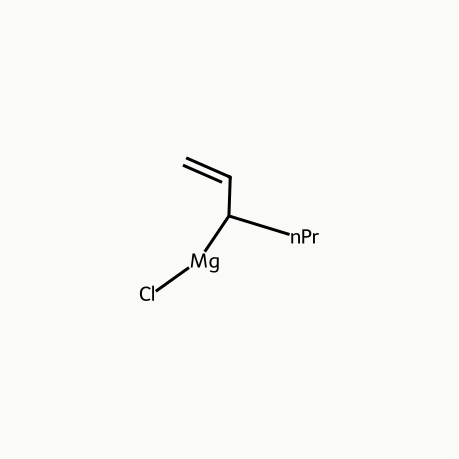 C=C[CH](CCC)[Mg][Cl]